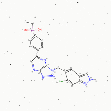 CCP(=O)(O)c1ccc(-c2cnc3nnn(Cc4cc5cn(C)nc5cc4F)c3n2)cc1